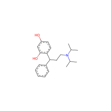 CC(C)N(CCC(c1ccccc1)c1ccc(O)cc1O)C(C)C